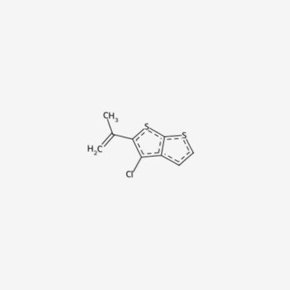 C=C(C)c1sc2sccc2c1Cl